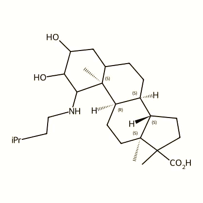 CC(C)CCNC1C(O)C(O)CC2CC[C@@H]3[C@@H](CC[C@@]4(C)[C@H]3CCC4(C)C(=O)O)[C@]21C